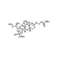 CO[Si](O[C@@H]1[C@@H]2O[C@H]3CC[C@H](CCOC(=O)C(C)(C)C)O[C@@H]3[C@@H](O)[C@@H]2O[C@@H]1CC(O)CO)(C(C)C)C(C)C